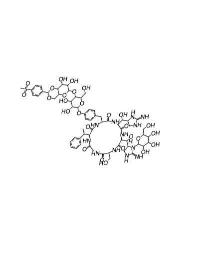 CC(c1ccccc1)C1NC(=O)CNC(=O)C(CO)NC(=O)C(C(O)C2CNC(=N)N2C2OC(CO)C(O)C(O)C2O)NC(=O)C(C(O)C2CNC(=N)N2)NC(=O)C(Cc2ccc(OC3OC(CO)C(OC4OC5COC(c6ccc(S(C)(=O)=O)cc6)OC5C(O)C4O)C(O)C3O)cc2)NC1=O